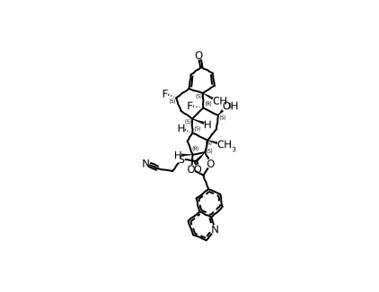 C[C@]12C=CC(=O)C=C1[C@@H](F)C[C@H]1[C@@H]3C[C@H]4OC(c5ccc6ncccc6c5)O[C@@]4(C(=O)SCC#N)[C@@]3(C)C[C@H](O)[C@@]12F